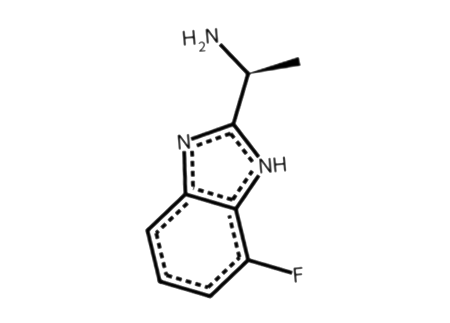 C[C@H](N)c1nc2cccc(F)c2[nH]1